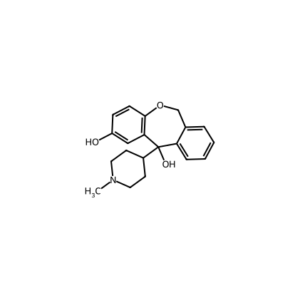 CN1CCC(C2(O)c3ccccc3COc3ccc(O)cc32)CC1